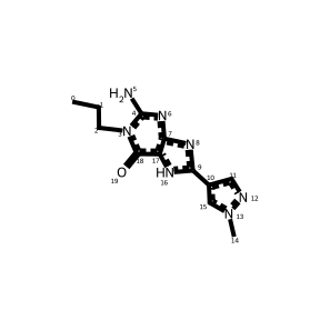 CCCn1c(N)nc2nc(-c3cnn(C)c3)[nH]c2c1=O